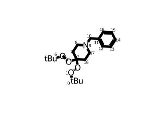 CC(C)(C)OOC1(OOC(C)(C)C)CCN(Cc2ccccc2)CC1